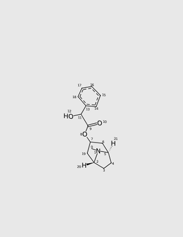 CN1[C@@H]2CC[C@@H]1CC(OC(=O)C(O)c1ccccc1)C2